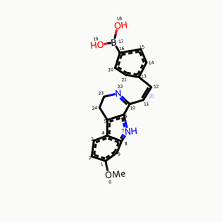 COc1ccc2c3c([nH]c2c1)C(/C=C\c1ccc(B(O)O)cc1)=NCC3